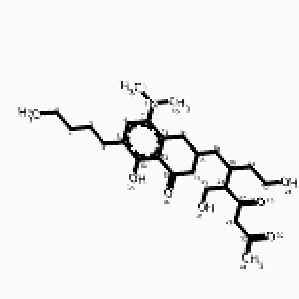 CCCCCc1cc(N(C)C)c2c(c1O)C(=O)CC(CC(CCO)C(CO)C(=O)CC(C)=O)C2